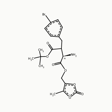 Cc1oc(=O)oc1COC(=O)[C@H](N)C(Cc1ccc(Br)cc1)C(=O)OC(C)(C)C